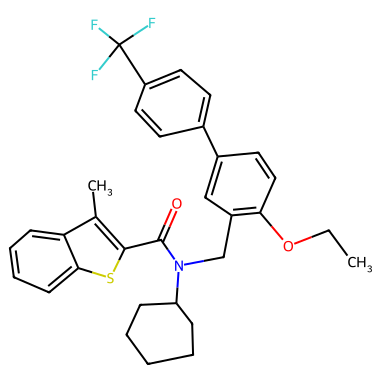 CCOc1ccc(-c2ccc(C(F)(F)F)cc2)cc1CN(C(=O)c1sc2ccccc2c1C)C1CCCCC1